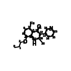 CCCOc1ccc(F)c2c(=O)c(-c3cccnc3)c(C)[nH]c12